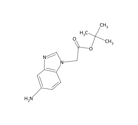 CC(C)(C)OC(=O)Cn1cnc2cc(N)ccc21